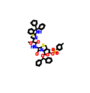 COC(C(=O)NC1C(=O)N2C(C(=O)OC(c3ccccc3)c3ccccc3)=C(C=COS(=O)(=O)c3ccc(C)cc3)CSC12)c1csc(NC(c2ccccc2)(c2ccccc2)c2ccccc2)n1